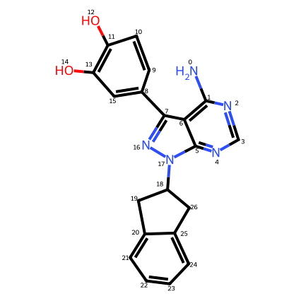 Nc1ncnc2c1c(-c1ccc(O)c(O)c1)nn2C1Cc2ccccc2C1